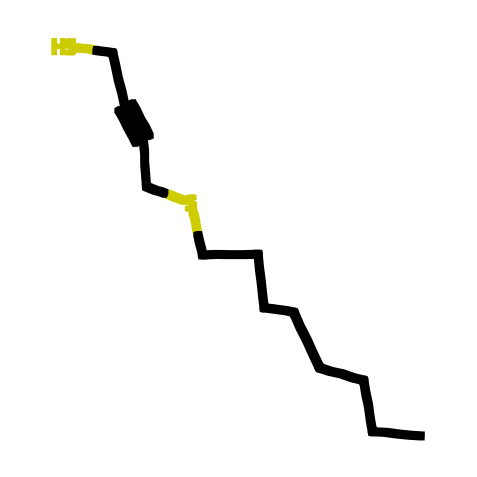 CCCCCCCCSCC#CCS